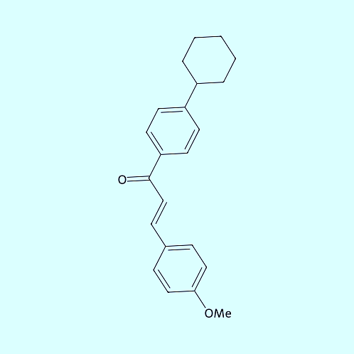 COc1ccc(C=CC(=O)c2ccc(C3CCCCC3)cc2)cc1